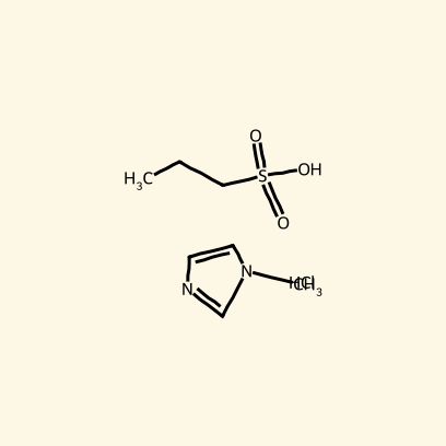 CCCS(=O)(=O)O.Cl.Cn1ccnc1